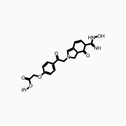 CC(C)OC(=O)COc1ccc(C(=O)CN2C=C3C=CC(C(=N)NO)C(=O)C3C2)cc1